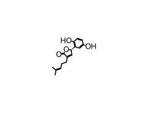 CC(C)=CCCC1=C[C@H](c2cc(O)ccc2O)OC1=O